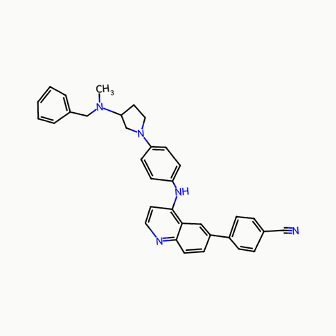 CN(Cc1ccccc1)C1CCN(c2ccc(Nc3ccnc4ccc(-c5ccc(C#N)cc5)cc34)cc2)C1